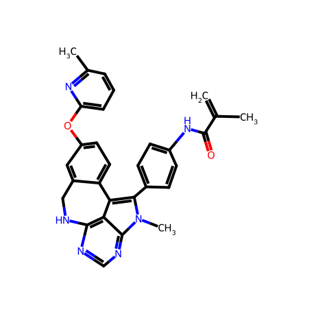 C=C(C)C(=O)Nc1ccc(-c2c3c4c(ncnc4n2C)NCc2cc(Oc4cccc(C)n4)ccc2-3)cc1